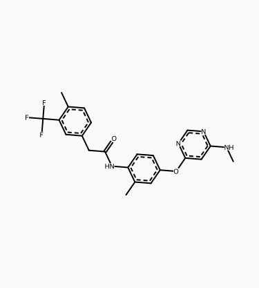 CNc1cc(Oc2ccc(NC(=O)Cc3ccc(C)c(C(F)(F)F)c3)c(C)c2)ncn1